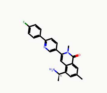 Cc1cc([C@@H](C)N)c2cc(-c3ccc(-c4ccc(F)cc4)nc3)n(C)c(=O)c2c1